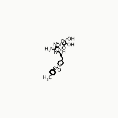 Cc1ccc(OC(=O)N2CCC(CC#Cc3nc(N)c4ncn([C@@H]5O[C@H](CO)C(O)C5O)c4n3)CC2)cc1